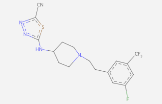 N#Cc1nnc(NC2CCN(CCc3cc(F)cc(C(F)(F)F)c3)CC2)s1